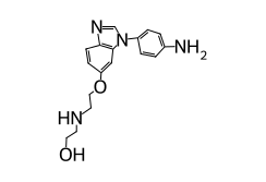 Nc1ccc(-n2cnc3ccc(OCCNCCO)cc32)cc1